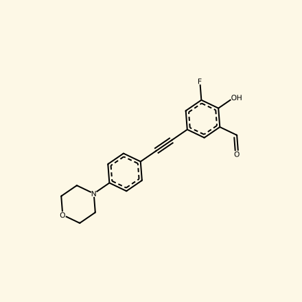 O=Cc1cc(C#Cc2ccc(N3CCOCC3)cc2)cc(F)c1O